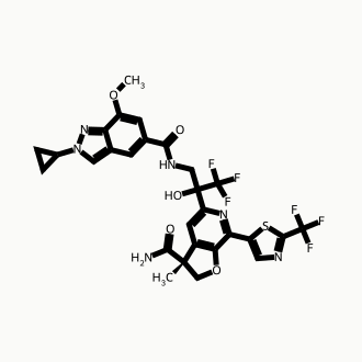 COc1cc(C(=O)NCC(O)(c2cc3c(c(-c4cnc(C(F)(F)F)s4)n2)OC[C@]3(C)C(N)=O)C(F)(F)F)cc2cn(C3CC3)nc12